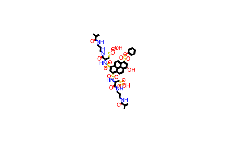 C=C(C)C(=O)NCCCNC(=O)C(CSOOO)NS(=O)(=O)c1cc(S(=O)(=O)NC(CS(=O)(=O)O)C(=O)NCCCNC(=O)C(=C)C)c2ccc3c(O)cc(S(=O)(=O)Oc4ccccc4)c4ccc1c2c34